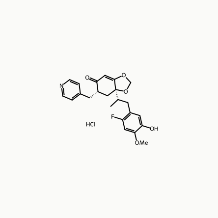 COc1cc(F)c(CC(C)[C@]23C[C@H](Cc4ccncc4)C(=O)C=C2OCO3)cc1O.Cl